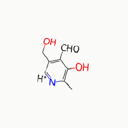 Cc1ncc(CO)c(C=O)c1O.[H+]